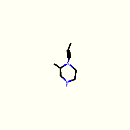 CC#CN1CCNCC1C